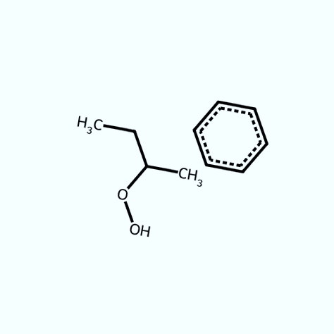 CCC(C)OO.c1ccccc1